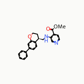 COC(=O)c1ccncc1NC[C@@H]1CCOc2cc(-c3ccccc3)ccc21